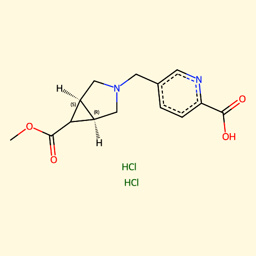 COC(=O)C1[C@H]2CN(Cc3ccc(C(=O)O)nc3)C[C@@H]12.Cl.Cl